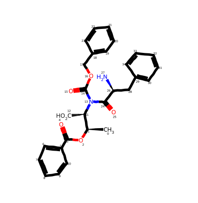 C[C@@H](OC(=O)c1ccccc1)[C@@H](C(=O)O)N(C(=O)OCc1ccccc1)C(=O)[C@@H](N)Cc1ccccc1